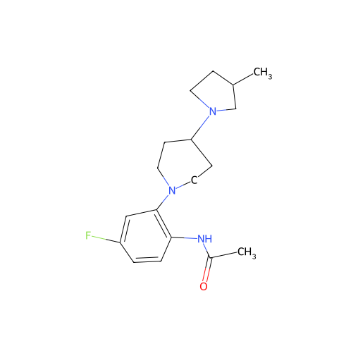 CC(=O)Nc1ccc(F)cc1N1CCC(N2CCC(C)C2)CC1